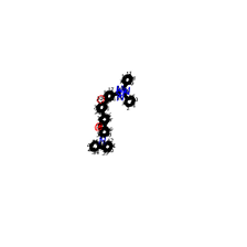 C1=CCCC(c2nc(-c3ccccc3)nc(-c3ccc4oc5ccc(-c6ccc7c(c6)oc6cc(-n8c9c(c%10ccccc%108)C=CCC9)ccc67)cc5c4c3)n2)=C1